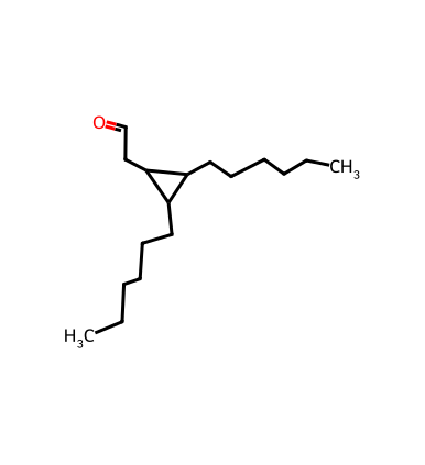 CCCCCCC1C(CC=O)C1CCCCCC